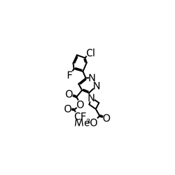 COC(=O)C1CN(c2nnc(-c3cc(Cl)ccc3F)cc2C(=O)OC(=O)C(F)(F)F)C1